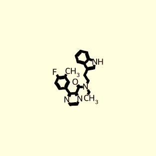 CCN(CCc1c[nH]c2ccccc12)C(=O)c1nccnc1-c1ccc(F)c(C)c1